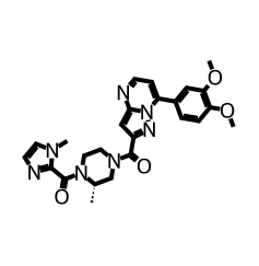 COc1ccc(-c2ccnc3cc(C(=O)N4CCN(C(=O)c5nccn5C)[C@@H](C)C4)nn23)cc1OC